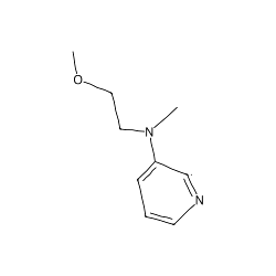 COCCN(C)c1[c]nccc1